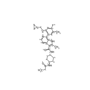 CCC(=O)N[C@H]1CC[C@H](NC(=O)c2c(C)[nH]c3c(-c4cc(C)c(F)cc4OCC4CC4)ncnc23)CC1